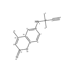 C#CC(C)(C)Nc1ccc2oc(=O)cc(C)c2c1